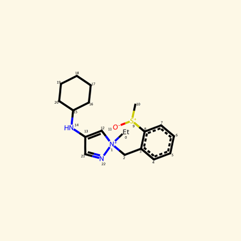 CC[N+]1(Cc2ccccc2[S+](C)[O-])C=C(NC2CCCCC2)C=N1